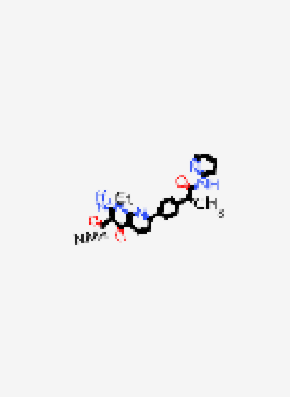 CCn1c(N)c(C(=O)NC)c(=O)c2ccc(-c3ccc(C(C)C(=O)Nc4ccccn4)cc3)nc21